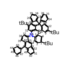 CC(C)(C)c1ccc2c(c1)B1c3cc(C(C)(C)C)ccc3C(c3ccccc3)(c3ccccc3)c3cc(C(C)(C)C)cc(c31)N2c1cccc2c(-c3ccccc3)c3ccccc3cc12